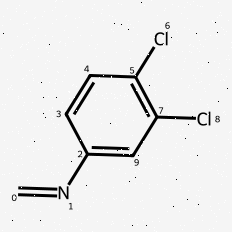 C=Nc1ccc(Cl)c(Cl)c1